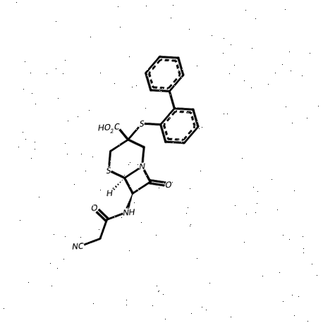 N#CCC(=O)N[C@@H]1C(=O)N2CC(Sc3ccccc3-c3ccccc3)(C(=O)O)CS[C@H]12